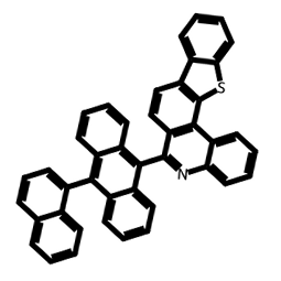 c1ccc2c(-c3c4ccccc4c(-c4nc5ccccc5c5c4ccc4c6ccccc6sc45)c4ccccc34)cccc2c1